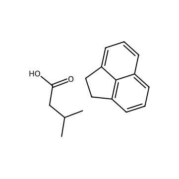 CC(C)CC(=O)O.c1cc2c3c(cccc3c1)CC2